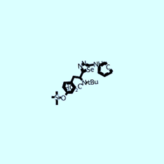 CC(C)(C)N(C(=O)O)C(Cc1ccc(O[Si](C)(C)C)cc1)c1nnc(Nc2ccccc2)[se]1